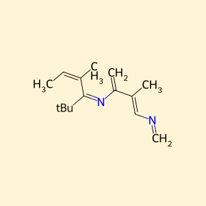 C=N/C=C(\C)C(=C)/N=C(\C(C)=C/C)C(C)(C)C